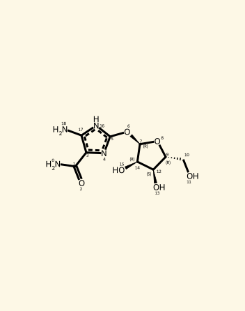 NC(=O)c1nc(O[C@H]2O[C@H](CO)[C@@H](O)[C@H]2O)[nH]c1N